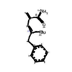 C=C(/C=C(/Cc1ccccc1)C(C)CC)C(N)=O